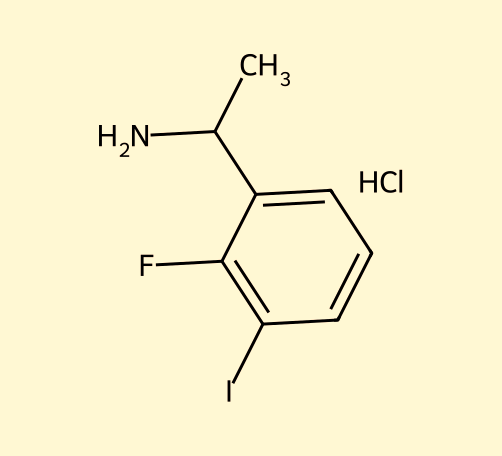 CC(N)c1cccc(I)c1F.Cl